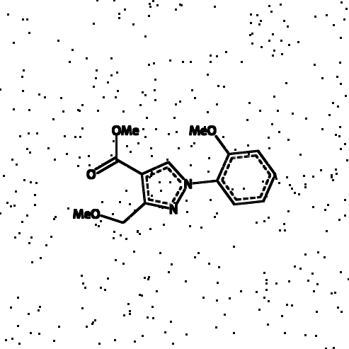 COCc1nn(-c2ccccc2OC)cc1C(=O)OC